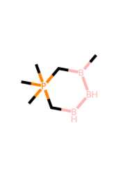 CB1BBCP(C)(C)(C)C1